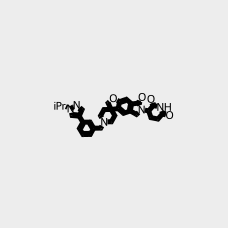 CC(C)n1cc(-c2cccc(CN3CCC4(CC3)COc3cc5c(cc34)CN(C3CCC(=O)NC3=O)C5=O)c2)cn1